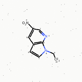 O=[N+]([O-])c1cnc2c(ccn2CC(F)(F)F)c1